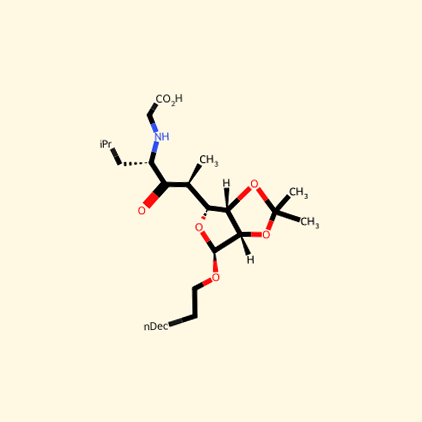 CCCCCCCCCCCCO[C@H]1O[C@H]([C@H](C)C(=O)[C@H](CC(C)C)NCC(=O)O)[C@@H]2OC(C)(C)O[C@H]12